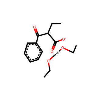 CCC(C(=O)[O-])C(=O)c1ccccc1.CC[O][Al+][O]CC